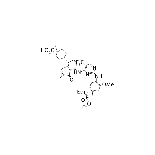 CCOP(=O)(Cc1ccc(Nc2ncc(C(F)(F)F)c(Nc3ccc([C@H]4CC[C@@](C)(C(=O)O)CC4)c4c3C(=O)N(C)C4)n2)c(OC)c1)OCC